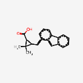 CC1(C)C(C=c2cccc3c2=Cc2ccccc2-3)C1C(=O)O